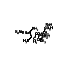 CC(=O)O.CC(=O)O.CC(=O)O.CC(=O)O.NCCN.[MgH2].[NaH].[NaH]